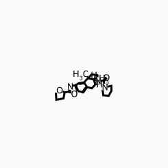 C[C@@H]1[C@H]2Cc3cc4oc(C5CCCO5)nc4cc3[C@]1(C)CCN2C(=O)N1CCCCC1